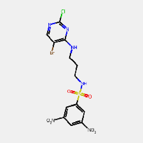 O=[N+]([O-])c1cc([N+](=O)[O-])cc(S(=O)(=O)NCCCNc2nc(Cl)ncc2Br)c1